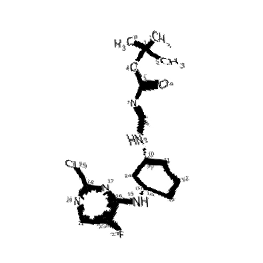 CC(C)(C)OC(=O)N=CN[C@@H]1CCC[C@H](Nc2nc(Cl)ncc2F)C1